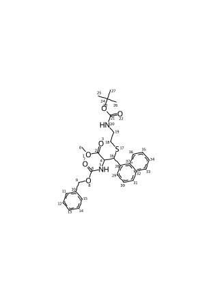 COC(=O)C(NC(=O)OCc1ccccc1)C(SCCNC(=O)OC(C)(C)C)c1cccc2ccccc12